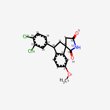 COc1ccc2c(c1)C1(CC(=O)NC1=O)CC2c1ccc(Cl)c(Cl)c1